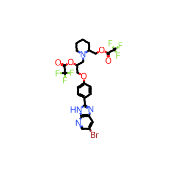 O=C(OCC1CCCCN1CC(COc1ccc(-c2nc3cc(Br)cnc3[nH]2)cc1)OC(=O)C(F)(F)F)C(F)(F)F